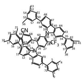 Cc1cc(C)cc(-c2ccc3c4ccc(-c5cc(C)cc(C)c5)cc4n(-c4cc(C(F)(F)F)c(-n5c6cc(-c7cc(C)cc(C)c7)ccc6c6ccc(-c7cc(C)cc(C)c7)cc65)cc4-c4cccc(C#N)c4)c3c2)c1